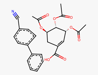 CC(=O)O[C@@H]1[C@H](OC(C)=O)C=C(C(=O)O)C[C@H]1OC(C)=O.N#Cc1ccc(-c2ccccc2)cc1